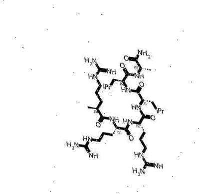 CC(C)C[C@H](NC(=O)[C@H](CC(C)C)NC(=O)[C@H](CCCNC(=N)N)NC(=O)[C@H](CCCNC(=N)N)NC(=O)[C@@H](C)CCCNC(=N)N)C(=O)N[C@@H](C)C(N)=O